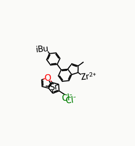 CC1=C2c3ccoc3C1[Si]2(C)C.CCC(C)c1ccc(-c2cccc3c2C=C(C)[CH]3[Zr+2])cc1.[Cl-].[Cl-]